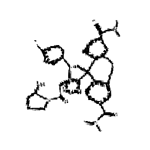 CN(C)C(=O)c1ccc2c(c1)CCc1cc(C(=O)N(C)C)ccc1C2(C[C@H](NCC(=O)N1CCCC1C#N)c1ccc(F)cc1)c1nnn[nH]1